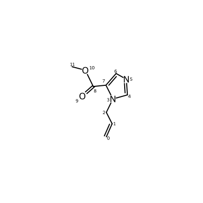 C=CCn1cncc1C(=O)OC